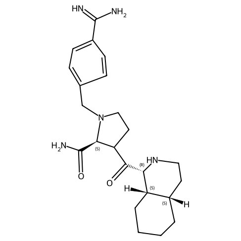 N=C(N)c1ccc(CN2CCC(C(=O)[C@@H]3NCC[C@@H]4CCCC[C@@H]43)[C@H]2C(N)=O)cc1